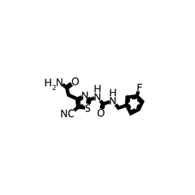 N#Cc1sc(NC(=O)NCc2cccc(F)c2)nc1CC(N)=O